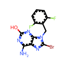 Nc1nc(O)nc2c1nc(Br)n2Cc1c(F)cccc1F